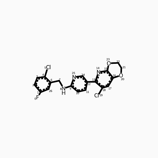 Fc1ccc(Cl)c(CNc2ccc(-c3nc4c(cc3Cl)OCCO4)cn2)c1